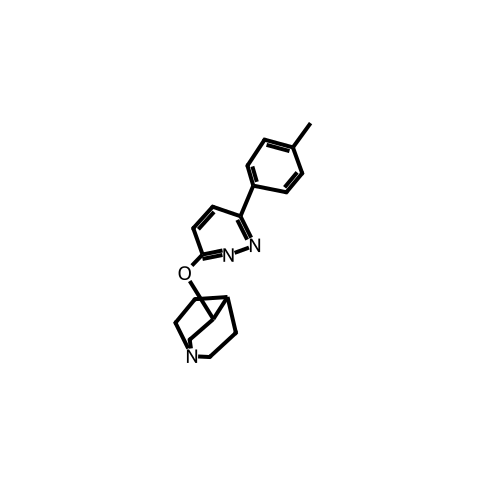 Cc1ccc(-c2ccc(OC3CN4CCC3CC4)nn2)cc1